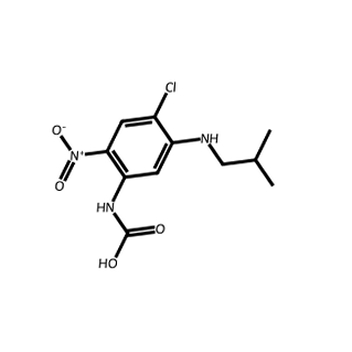 CC(C)CNc1cc(NC(=O)O)c([N+](=O)[O-])cc1Cl